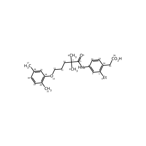 CCc1cc(NC(=O)C(C)(C)CCCOc2cc(C)ccc2C)ccc1CC(=O)O